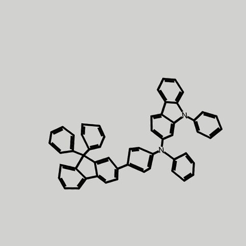 c1ccc(N(c2ccc(-c3ccc4c(c3)C(c3ccccc3)(c3ccccc3)c3ccccc3-4)cc2)c2ccc3c4ccccc4n(-c4ccccc4)c3c2)cc1